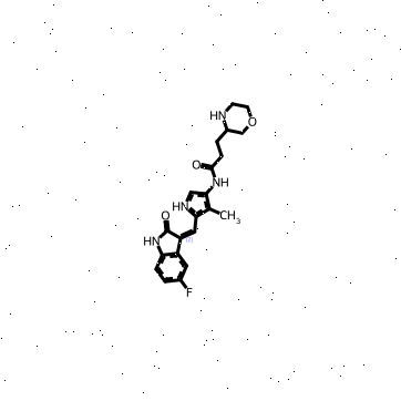 Cc1c(NC(=O)CCC2COCCN2)c[nH]c1/C=C1\C(=O)Nc2ccc(F)cc21